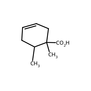 CC1CC=CCC1(C)C(=O)O